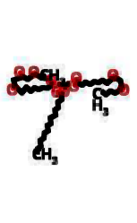 CCCCCCCCCCCCCCCC(=O)OC(COC(=O)CCCCCCCC1OC1CC1OC1CCCCC)COC(=O)CCCCCCCC1OC1CC1OC1CC1OC1CC